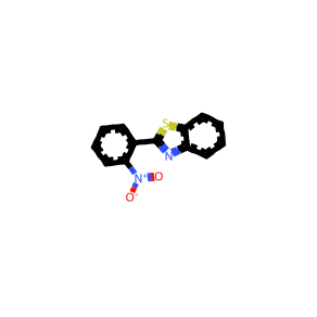 O=[N+]([O-])c1ccccc1-c1nc2ccccc2s1